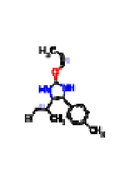 C/C=C\OC1NC(/C(C)=C/CC)=C(c2ccc(C)cc2)N1